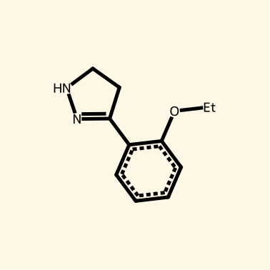 CCOc1ccccc1C1=NNCC1